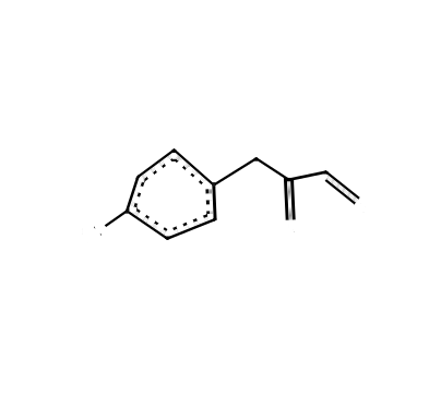 O=[N+]([O-])c1ccc(CC(=S)[C]=S)cc1